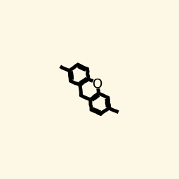 Cc1ccc2c(c1)Cc1ccc(C)cc1O2